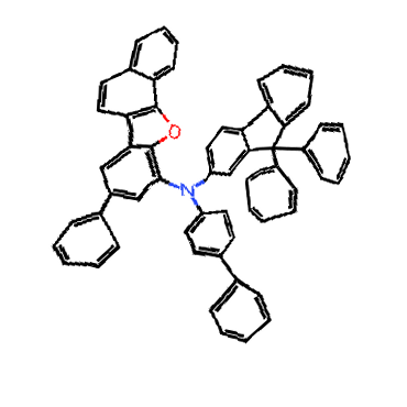 c1ccc(-c2ccc(N(c3ccc4c(c3)C(c3ccccc3)(c3ccccc3)c3ccccc3-4)c3cc(-c4ccccc4)cc4c3oc3c5ccccc5ccc43)cc2)cc1